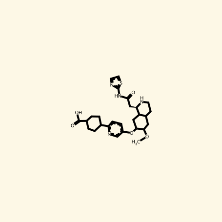 COC1CC2CCN[C@H](CC(=O)Nc3nccs3)C2CC1Oc1ccc(C2CCC(C(=O)O)CC2)nc1